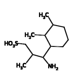 CC1CCCC(C(N)C(C)CS(=O)(=O)O)C1C